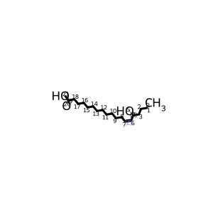 CCCC[C@@H](O)/C=C\CCCCCCCCCCCC(=O)O